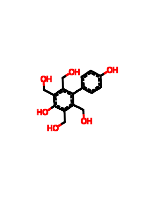 OCc1c(O)c(CO)c(CO)c(-c2ccc(O)cc2)c1CO